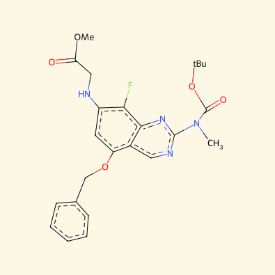 COC(=O)CNc1cc(OCc2ccccc2)c2cnc(N(C)C(=O)OC(C)(C)C)nc2c1F